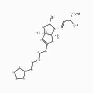 CCCCC[C@H](O)/C=C/[C@@H]1[C@H]2CC(CCOCCN3CCCC3)=C[C@H]2C[C@H]1O